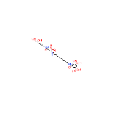 O=C(CC[C@H](NC(=O)CCCCCCCCCCCNC(=O)c1cc(B(O)O)cc(B(O)O)c1)C(=O)O)NCCCCCC(O)CO